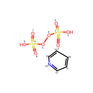 O=S(=O)(O)OOS(=O)(=O)O.c1ccncc1